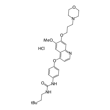 COc1cc2c(Oc3ccc(NC(=O)NCCC(C)(C)C)cc3)ccnc2cc1OCCCN1CCOCC1.Cl